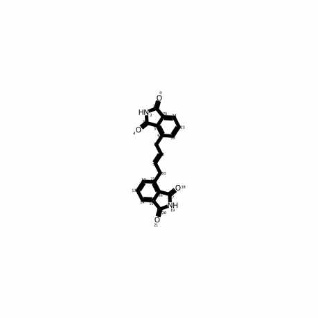 O=C1NC(=O)c2c(CC=CCc3cccc4c3C(=O)NC4=O)cccc21